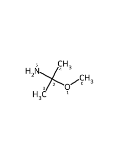 COC(C)(C)N